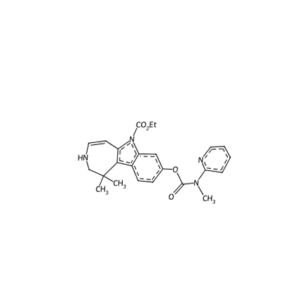 CCOC(=O)n1c2c(c3ccc(OC(=O)N(C)c4ccccn4)cc31)C(C)(C)CNC=C2